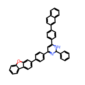 C1=C(c2ccc(-c3ccc4ccccc4c3)cc2)NC(c2ccccc2)N=C1c1ccc(-c2ccc3c(c2)oc2ccccc23)cc1